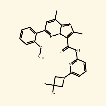 CCC1(CC)CN(c2cccc(NC(=O)c3c(C)nc4c(C)cc(-c5ccccc5OC(F)(F)F)nn34)n2)C1